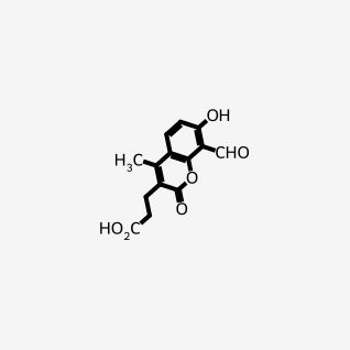 Cc1c(CCC(=O)O)c(=O)oc2c(C=O)c(O)ccc12